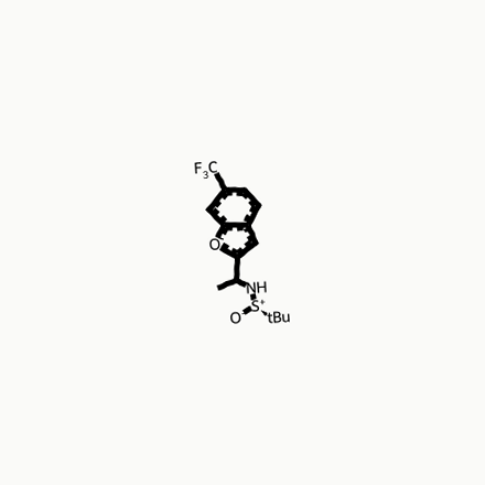 CC(N[S@@+]([O-])C(C)(C)C)c1cc2ccc(C(F)(F)F)cc2o1